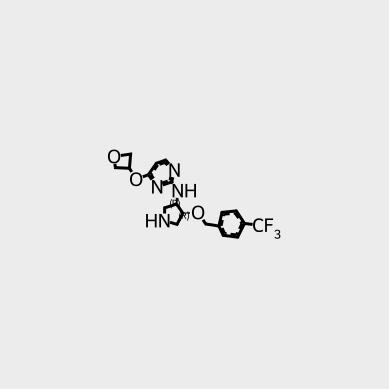 FC(F)(F)c1ccc(CO[C@@H]2CNC[C@H]2Nc2nccc(OC3COC3)n2)cc1